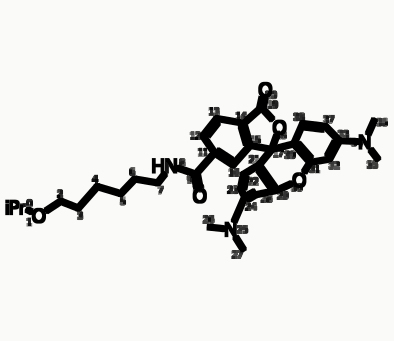 CC(C)OCCCCCCNC(=O)c1ccc2c(c1)C1(OC2=O)c2ccc(N(C)C)cc2Oc2cc(N(C)C)ccc21